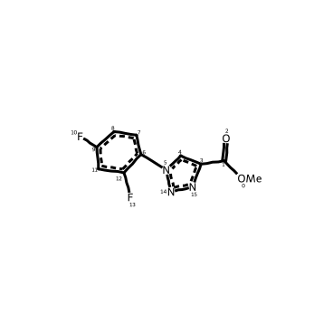 COC(=O)c1cn(-c2ccc(F)cc2F)nn1